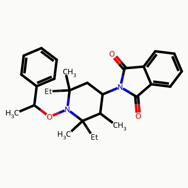 CCC1(C)CC(N2C(=O)c3ccccc3C2=O)C(C)C(C)(CC)N1OC(C)c1ccccc1